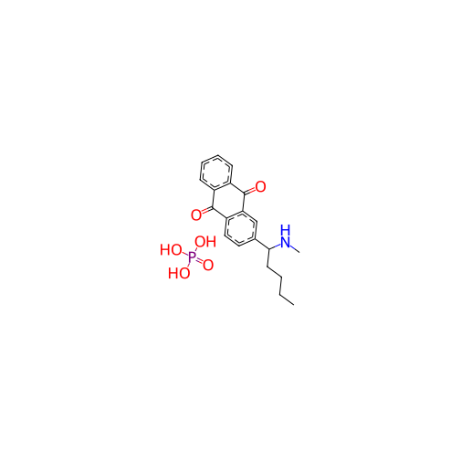 CCCCC(NC)c1ccc2c(c1)C(=O)c1ccccc1C2=O.O=P(O)(O)O